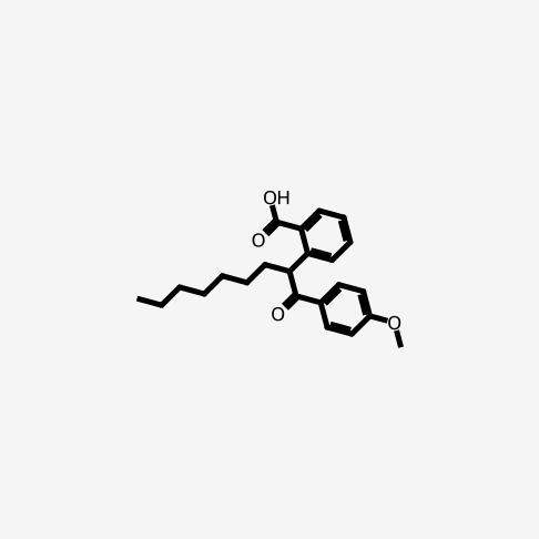 CCCCCCCC(C(=O)c1ccc(OC)cc1)c1ccccc1C(=O)O